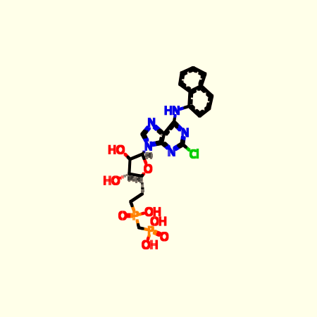 O=P(O)(O)CP(=O)(O)CC[C@H]1O[C@@H](n2cnc3c(Nc4cccc5ccccc45)nc(Cl)nc32)C(O)[C@H]1O